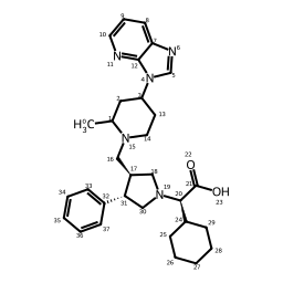 CC1CC(n2cnc3cccnc32)CCN1C[C@H]1CN([C@@H](C(=O)O)C2CCCCC2)C[C@@H]1c1ccccc1